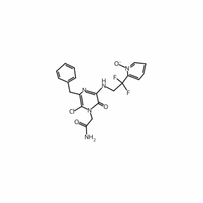 NC(=O)Cn1c(Cl)c(Cc2ccccc2)nc(NCC(F)(F)c2cccc[n+]2[O-])c1=O